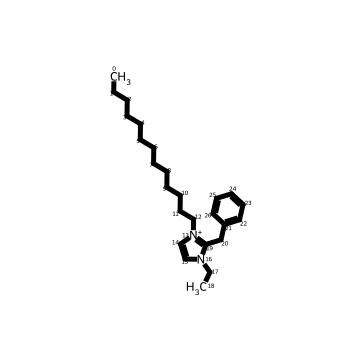 CCCCCCCCCCCCC[n+]1ccn(CC)c1Cc1ccccc1